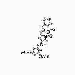 COc1cc(CNc2cc(COCc3ccccc3)n(C(=O)OC(C)(C)C)c2)cc(OC)c1